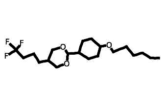 CCCCCCOC1CCC(C2OCC(CCCC(F)(F)F)CO2)CC1